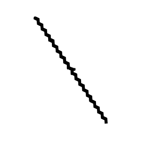 CCCCCCCCC=CCCCCCCCC[O][Sn][O]CCCCCCCCC=CCCCCCCCC